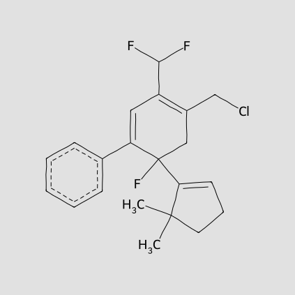 CC1(C)CCC=C1C1(F)CC(CCl)=C(C(F)F)C=C1c1ccccc1